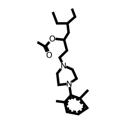 CCC(CC)CC(CCN1CCN(c2c(C)cccc2C)CC1)OC(C)=O